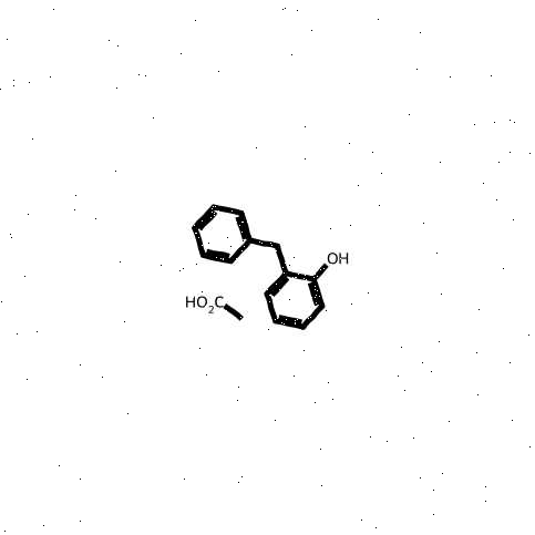 CC(=O)O.Oc1ccccc1Cc1ccccc1